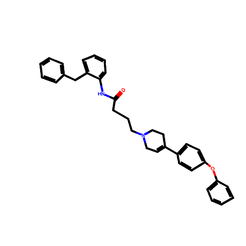 O=C(CCCN1CC=C(c2ccc(Oc3ccccc3)cc2)CC1)Nc1ccccc1Cc1ccccc1